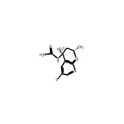 C[C@H]1C[C@](NC(N)=O)(C(=O)O)c2cc(Cl)cnc2O1